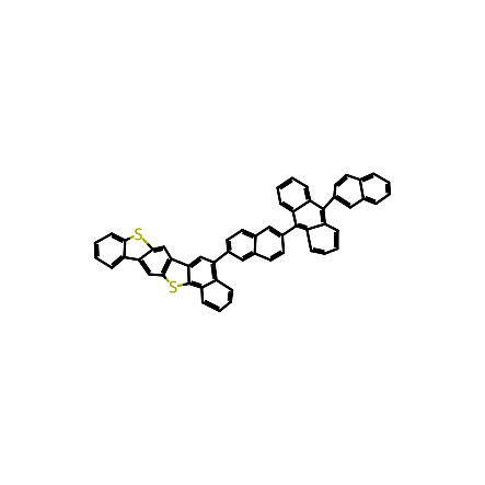 c1ccc2cc(-c3c4ccccc4c(-c4ccc5cc(-c6cc7c8cc9sc%10ccccc%10c9cc8sc7c7ccccc67)ccc5c4)c4ccccc34)ccc2c1